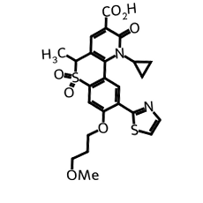 COCCCOc1cc2c(cc1-c1nccs1)-c1c(cc(C(=O)O)c(=O)n1C1CC1)C(C)S2(=O)=O